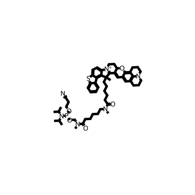 CC(C)N(C(C)C)P(OCCC#N)OCN(C)C(=O)CCCCCN(C)C(=O)CCCCCC1(C)C2=[N+](CCC3Oc4c(cc5c6c4CCCN6CCC5)C=C23)c2ccc3sc4ccccc4c3c21